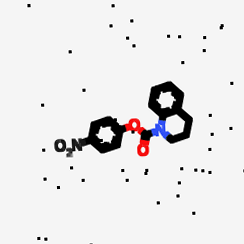 O=C(Oc1ccc([N+](=O)[O-])cc1)N1CCCc2ccccc21